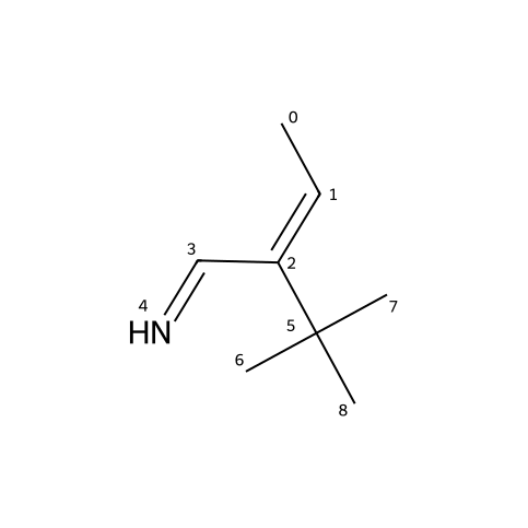 C/C=C(\C=N)C(C)(C)C